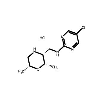 C[C@@H]1CN[C@H](CNc2ncc(Cl)cn2)[C@H](C)O1.Cl